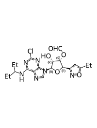 CCc1cc([C@H]2O[C@@H](n3cnc4c(NC(CC)CC)nc(Cl)nc43)[C@H](O)[C@@H]2OC=O)no1